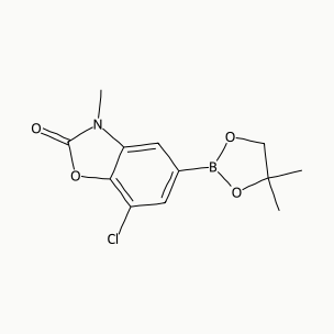 Cn1c(=O)oc2c(Cl)cc(B3OCC(C)(C)O3)cc21